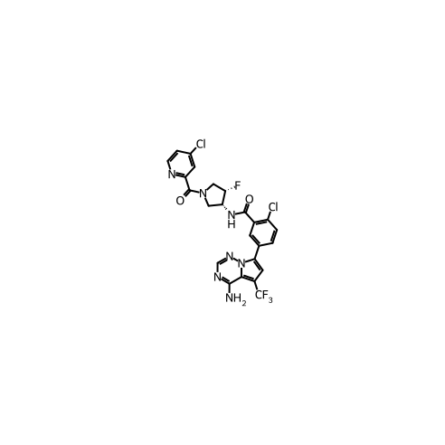 Nc1ncnn2c(-c3ccc(Cl)c(C(=O)N[C@@H]4CN(C(=O)c5cc(Cl)ccn5)C[C@@H]4F)c3)cc(C(F)(F)F)c12